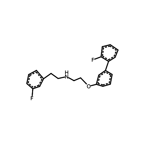 Fc1cccc(CCNCCOc2cccc(-c3ccccc3F)c2)c1